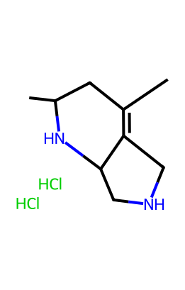 CC1=C2CNCC2NC(C)C1.Cl.Cl